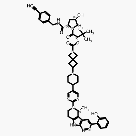 C#Cc1ccc(CNC(=O)[C@@H]2C[C@@H](O)CN2C(=O)[C@@H](OC(=O)N2CC3(CC(N4CCC(c5cnc(N6CCc7[nH]c8nnc(-c9ccccc9O)cc8c7[C@H]6C)nc5)CC4)C3)C2)C(C)(C)C)cc1